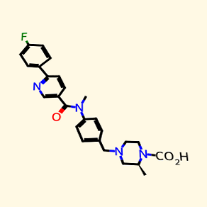 C[C@H]1CN(Cc2ccc(N(C)C(=O)c3ccc(-c4ccc(F)cc4)nc3)cc2)CCN1C(=O)O